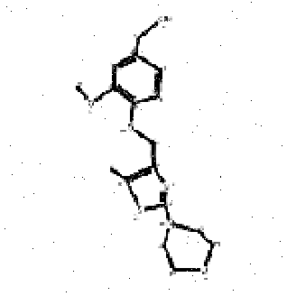 COc1cc(CO)ccc1OCc1nc(N2CCOCC2)sc1C